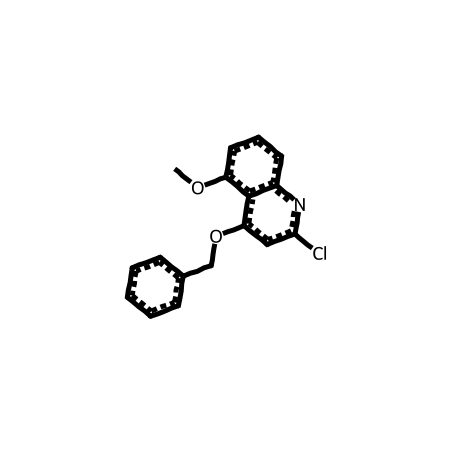 COc1cccc2nc(Cl)cc(OCc3ccccc3)c12